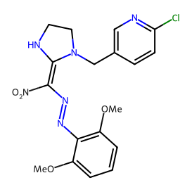 COc1cccc(OC)c1/N=N/C(=C1/NCCN1Cc1ccc(Cl)nc1)[N+](=O)[O-]